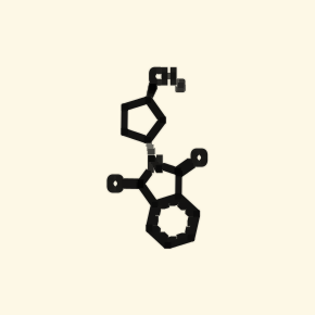 C[C@@H]1CC[C@@H](N2C(=O)c3ccccc3C2=O)C1